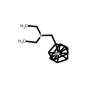 CCN(CC)C[C]12[CH]3[CH]4[CH]5[CH]1[Ru]45321678[CH]2[CH]1[CH]6[CH]7[CH]28